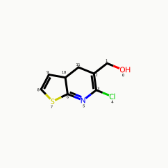 OCC1=C(Cl)N=C2SC=CC2C1